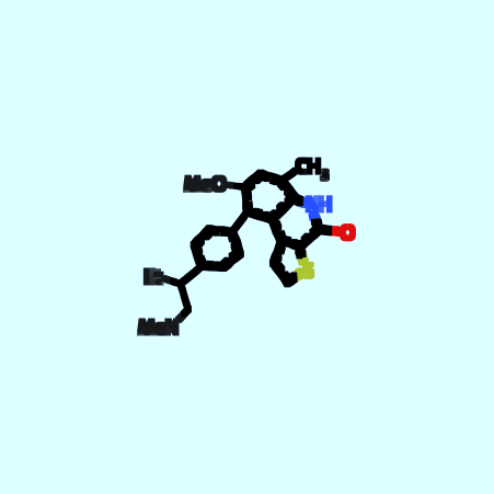 CCC(CNC)c1ccc(-c2c(OC)cc(C)c3[nH]c(=O)c4sccc4c23)cc1